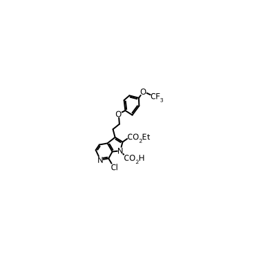 CCOC(=O)c1c(CCOc2ccc(OC(F)(F)F)cc2)c2ccnc(Cl)c2n1C(=O)O